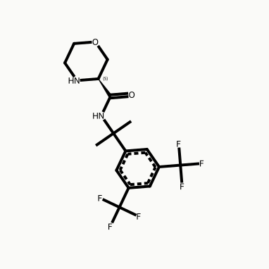 CC(C)(NC(=O)[C@@H]1COCCN1)c1cc(C(F)(F)F)cc(C(F)(F)F)c1